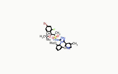 COc1cccc(OC)c1-n1c(NS(=O)(=O)[C@@H](C)[C@H](O[Si](C)(C)C(C)(C)C)c2ccc(Br)cc2F)nnc1-c1cncc(C)c1